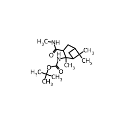 CNC(=O)C1CC2CC(C2(C)C)C1(C)NC(=O)OC(C)(C)C